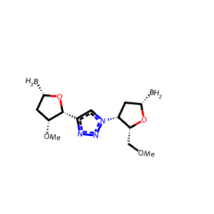 B[C@H]1C[C@@H](OC)[C@@H](c2cn([C@@H]3C[C@H](B)O[C@@H]3COC)nn2)O1